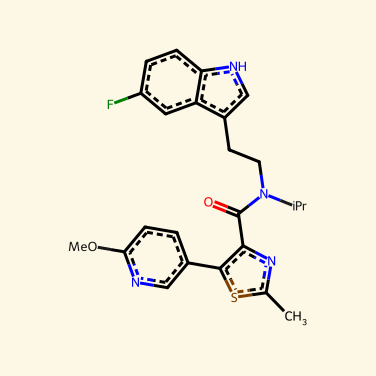 COc1ccc(-c2sc(C)nc2C(=O)N(CCc2c[nH]c3ccc(F)cc23)C(C)C)cn1